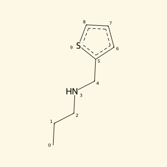 CCCNCc1cccs1